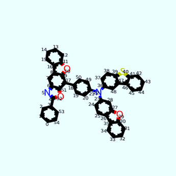 c1ccc(-c2nc3cc4c(oc5ccccc54)c(-c4ccc(N(c5ccc6c(c5)oc5ccccc56)c5ccc6sc7ccccc7c6c5)cc4)c3o2)cc1